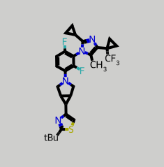 Cc1c(C2(C(F)(F)F)CC2)nc(C2CC2)n1-c1c(F)ccc(N2CC3C(C2)C3c2csc(C(C)(C)C)n2)c1F